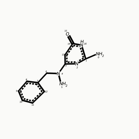 Nc1nc(N(N)Cc2ccccc2)cc(=O)[nH]1